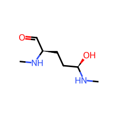 CN[C@H](O)CC[C@H](C=O)NC